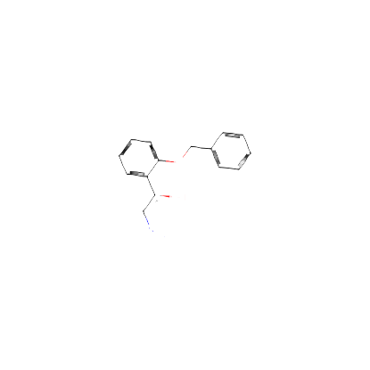 NC[C@H](O)c1ccccc1OCc1ccccc1